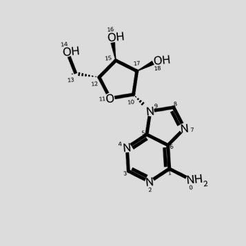 Nc1ncnc2c1ncn2[C@@H]1O[C@H]([CH]O)[C@@H](O)[C@H]1O